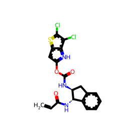 C=CC(=O)N[C@H]1c2ccccc2C[C@@H]1NC(=O)Oc1cc2sc(Cl)c(Cl)c2[nH]1